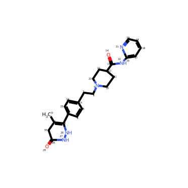 CC1=C(c2ccc(CCN3CCC(C(=O)Nc4ccccn4)CC3)cc2)NNC(=O)C1